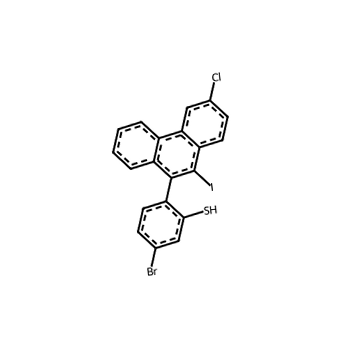 Sc1cc(Br)ccc1-c1c(I)c2ccc(Cl)cc2c2ccccc12